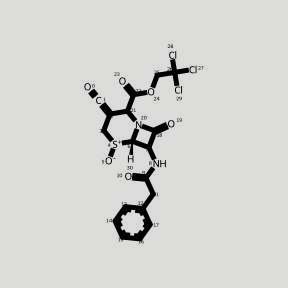 O=C=C1C[S+]([O-])[C@H]2C(NC(=O)Cc3ccccc3)C(=O)N2C1C(=O)OCC(Cl)(Cl)Cl